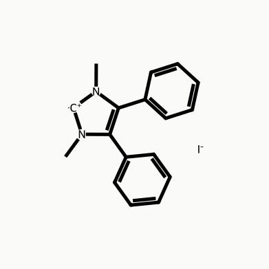 CN1[C+]N(C)C(c2ccccc2)=C1c1ccccc1.[I-]